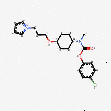 CN(C(=O)Oc1ccc(Cl)cc1)[C@H]1CC[C@H](OCCCn2cccc2)CC1